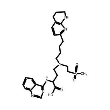 CS(=O)(=O)CCN(CCCCc1ccc2c(n1)NCCC2)CCC(Nc1ncnc2ccccc12)C(=O)O